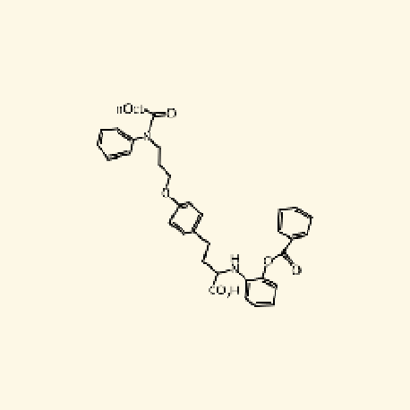 CCCCCCCCC(=O)N(CCCOc1ccc(CCC(Nc2ccccc2OC(=O)c2ccccc2)C(=O)O)cc1)c1ccccc1